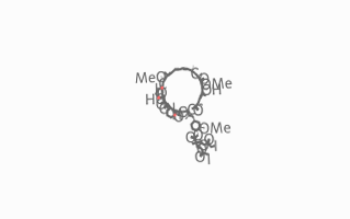 CO[C@H]1C[C@@H]2CC[C@@H](C)[C@@](O)(O2)C(=O)C(=O)N2CCCC[C@H]2C(=O)OC([C@H](C)C[C@@H]2CC[C@@H](OC(=O)C(C)(COC(=O)CI)COC(=O)CI)[C@H](OC)C2)CC(=O)[C@H](C)/C=C(\C)[C@@H](O)[C@@H](OC)C(=O)[C@H](C)C[C@@H](C)\C=C/C=C/C=C/1C